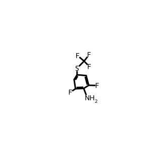 Nc1c(F)cc(SC(F)(F)F)cc1F